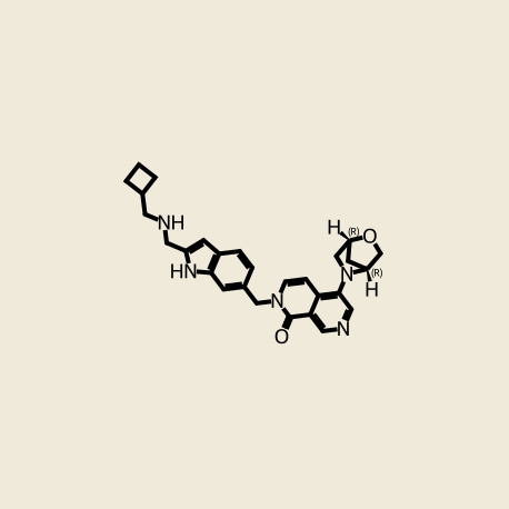 O=c1c2cncc(N3C[C@H]4C[C@@H]3CO4)c2ccn1Cc1ccc2cc(CNCC3CCC3)[nH]c2c1